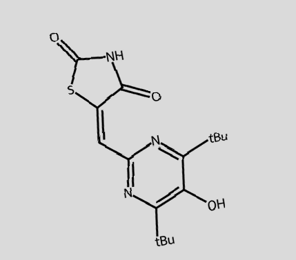 CC(C)(C)c1nc(C=C2SC(=O)NC2=O)nc(C(C)(C)C)c1O